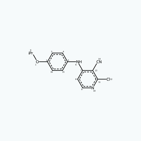 CC(C)Oc1ccc(Nc2ccnc(Cl)c2C#N)cc1